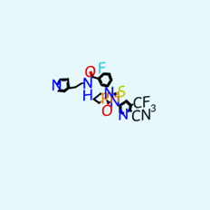 N#Cc1ncc(N2C(=O)[PH]3(CCC3)N(c3ccc(F)c(C(=O)NCCc4ccncc4)c3)C2=S)cc1C(F)(F)F